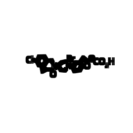 O=C(O)Oc1cc2c(Br)c(N3CCC(N(Cc4ccc(Cl)cc4)C(=O)C4CC4)CC3)ccc2o1